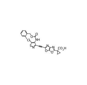 Cc1ccccc1COC(=O)Nc1c(C#Cc2nc3nc(C4(C(=O)O)CC4)oc3o2)nsc1Cl